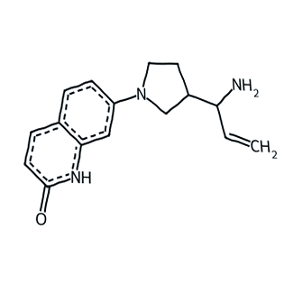 C=CC(N)C1CCN(c2ccc3ccc(=O)[nH]c3c2)C1